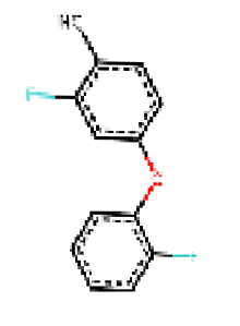 N#Cc1ccc(Oc2ccccc2F)cc1F